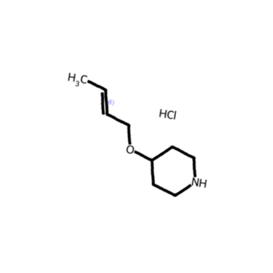 C/C=C/COC1CCNCC1.Cl